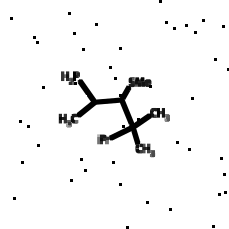 CSC(C(C)P)C(C)(C)C(C)C